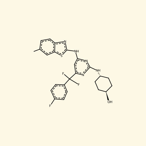 Cc1ccc2nc(Nc3cc(C(F)(F)c4ccc(F)cc4)nc(N[C@H]4CC[C@H](O)CC4)n3)sc2c1